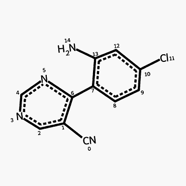 N#Cc1cncnc1-c1ccc(Cl)cc1N